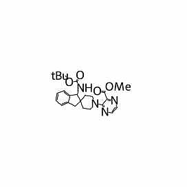 COC(=O)c1nccnc1N1CCC2(CC1)Cc1ccccc1C2NC(=O)OC(C)(C)C